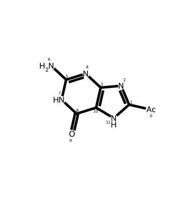 CC(=O)c1nc2nc(N)[nH]c(=O)c2[nH]1